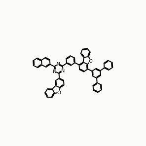 c1ccc(-c2cc(-c3ccccc3)cc(-c3ccc(-c4cccc(-c5nc(-c6ccc7ccccc7c6)nc(-c6ccc7oc8ccccc8c7c6)n5)c4)c4c3oc3ccccc34)c2)cc1